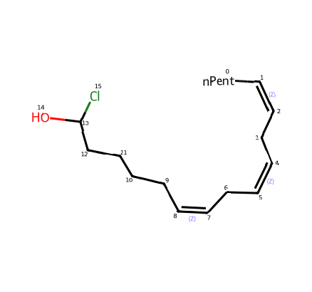 CCCCC/C=C\C/C=C\C/C=C\CCCCC(O)Cl